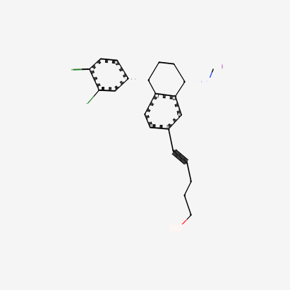 CN[C@H]1CC[C@@H](c2ccc(Cl)c(Cl)c2)c2ccc(C#CCCCO)cc21.I